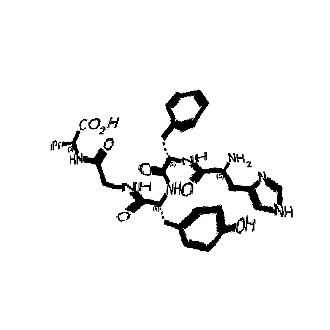 CC(C)[C@H](NC(=O)CNC(=O)[C@@H](Cc1ccc(O)cc1)NC(=O)[C@H](Cc1ccccc1)NC(=O)[C@@H](N)Cc1c[nH]cn1)C(=O)O